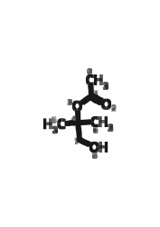 CC(=O)OC(C)(C)CO